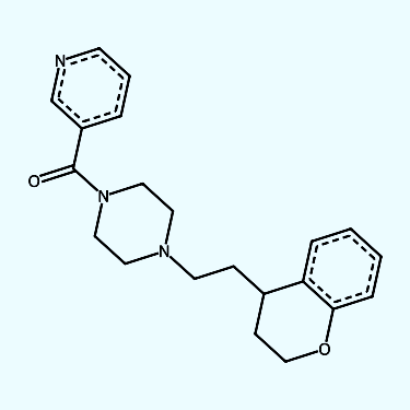 O=C(c1cccnc1)N1CCN(CCC2CCOc3ccccc32)CC1